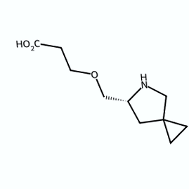 O=C(O)CCOC[C@H]1CC2(CC2)CN1